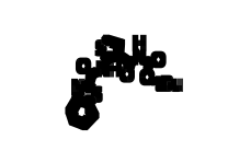 CC(C)(C)OC(=O)NC(=O)c1ccsc1NC(=O)c1nc2ccccc2s1